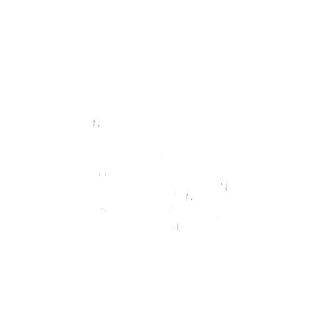 O=C(O)N(c1cscn1)S(=O)(=O)c1c(F)cc(OC2CCN(Cc3ccccc3)C2)c(Br)c1F